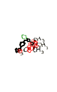 CC(=O)OC[C@H]1OC(c2ccc(Cl)c(Cc3ccc(C4COC5(CCCC5)C4)cc3)c2)[C@H](OC(C)=O)[C@@H](OC(C)=O)[C@@H]1OC(C)=O